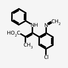 C=Nc1ccc(Cl)cc1/C(Nc1ccccc1)=C(\C)C(=O)O